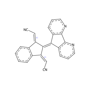 N#C/C=C1/C(=C2c3cccnc3-c3ncccc32)/C(=C/C#N)c2ccccc21